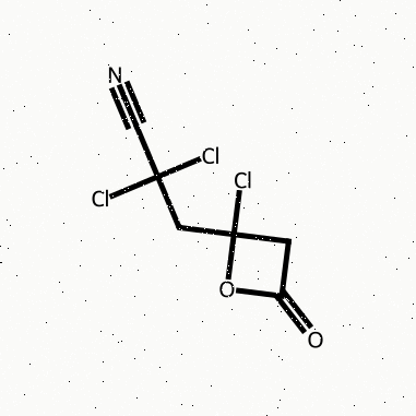 N#CC(Cl)(Cl)CC1(Cl)CC(=O)O1